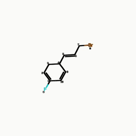 FC1=CC[C](/C=C/CBr)C=C1